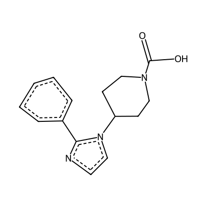 O=C(O)N1CCC(n2ccnc2-c2ccccc2)CC1